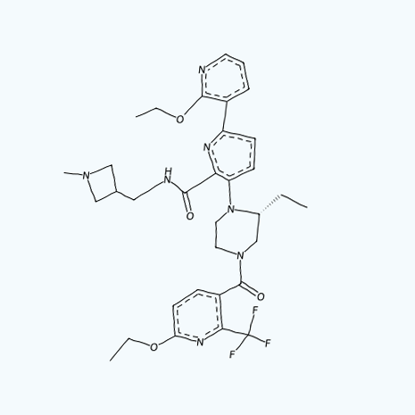 CCOc1ccc(C(=O)N2CCN(c3ccc(-c4cccnc4OCC)nc3C(=O)NCC3CN(C)C3)[C@H](CC)C2)c(C(F)(F)F)n1